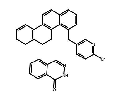 Brc1ccc(Cc2cccc3ccc4c(c23)CCC2=C4C=CCC2)cn1.O=c1[nH]ncc2ccccc12